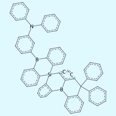 c1ccc(N(c2ccccc2)c2cccc(B3c4ccccc4[Si]4(c5ccccc53)c3ccccc3B3c5ccccc5C(c5ccccc5)(c5ccccc5)c5cccc4c53)c2)cc1